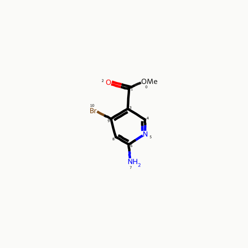 COC(=O)c1cnc(N)cc1Br